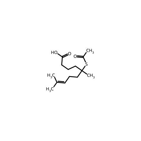 CC(=O)SC(C)(CCC=C(C)C)CCCC(=O)O